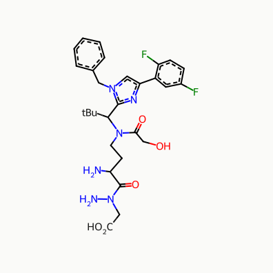 CC(C)(C)C(c1nc(-c2cc(F)ccc2F)cn1Cc1ccccc1)N(CCC(N)C(=O)N(N)CC(=O)O)C(=O)CO